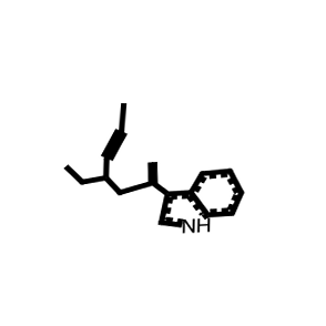 C=C(CC(C#CC)CC)c1c[nH]c2ccccc12